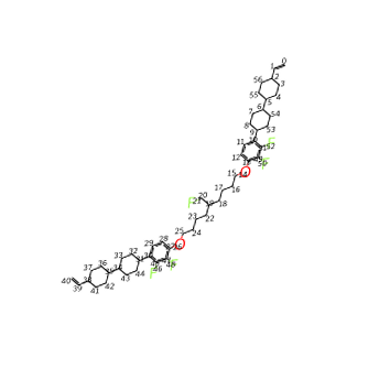 C=CC1CCC(C2CCC(c3ccc(OCCCCC(CF)CCCCOc4ccc(C5CCC(C6CCC(C=C)CC6)CC5)c(F)c4F)c(F)c3F)CC2)CC1